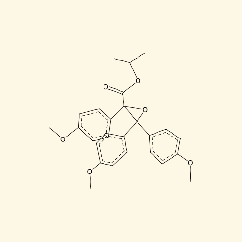 COc1ccc(C2(C(=O)OC(C)C)OC2(c2ccc(OC)cc2)c2ccc(OC)cc2)cc1